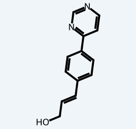 OCC=Cc1ccc(-c2ccncn2)cc1